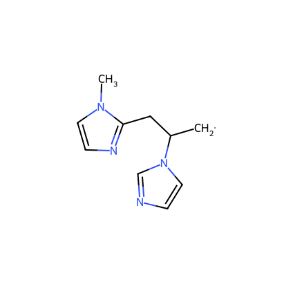 [CH2]C(Cc1nccn1C)n1ccnc1